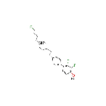 CCOc1ccc(-c2ccc(CCC3CC[SiH](CCCCF)CC3)cc2)c(F)c1F